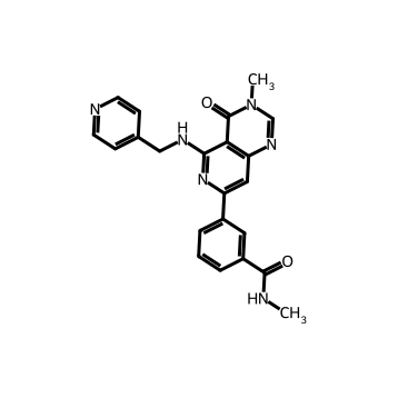 CNC(=O)c1cccc(-c2cc3ncn(C)c(=O)c3c(NCc3ccncc3)n2)c1